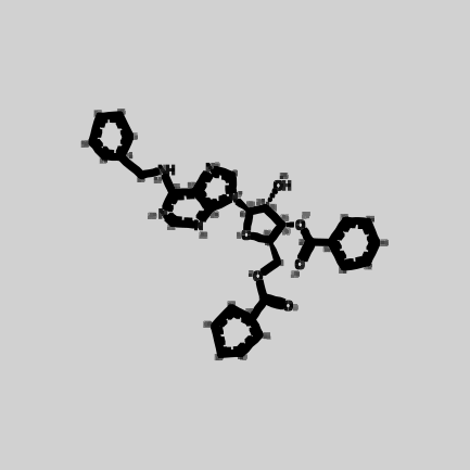 O=C(OC[C@H]1O[C@@H](n2cnc3c(NCc4ccccc4)ncnc32)[C@H](O)[C@@H]1OC(=O)c1ccccc1)c1ccccc1